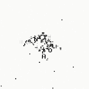 CC(C)C(=O)N1C[C@H](c2cccc(N3CCN(C)CC3)c2)NC[C@H]1C